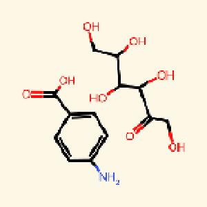 Nc1ccc(C(=O)O)cc1.O=C(CO)C(O)C(O)C(O)CO